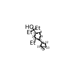 CCc1cc(C(O)(CC)CC)ccc1-c1c[c]sc1